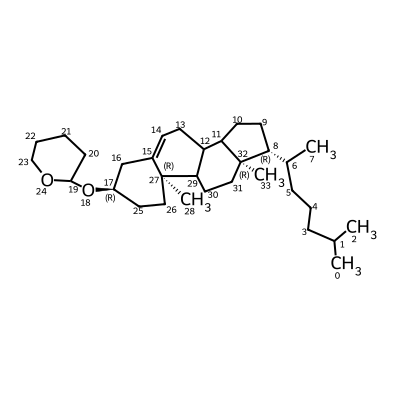 CC(C)CCCC(C)[C@H]1CCC2C3CC=C4C[C@H](OC5CCCCO5)CC[C@]4(C)C3CC[C@@]21C